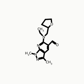 CCN(CC1CCCO1)c1nc2c(cc1C=O)c(C)nn2C